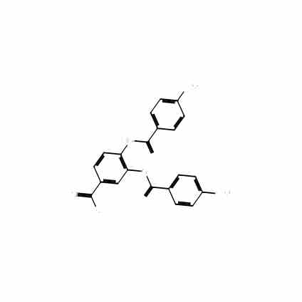 COc1ccc(C(=O)Nc2ccc(C(=N)N)cc2NC(=O)c2ccc(OC)cc2)cc1